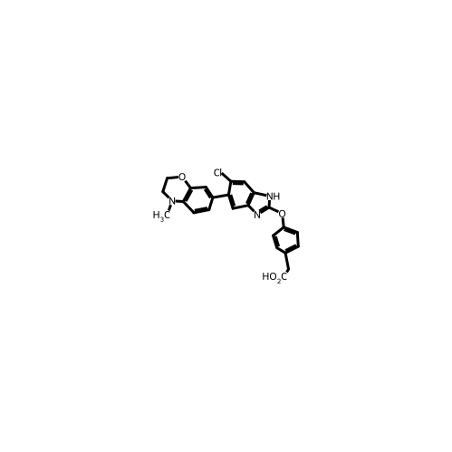 CN1CCOc2cc(-c3cc4nc(Oc5ccc(CC(=O)O)cc5)[nH]c4cc3Cl)ccc21